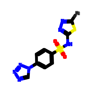 CCc1nnc(NS(=O)(=O)c2ccc(-n3cnnn3)cc2)s1